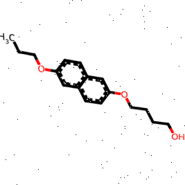 CCCOc1ccc2cc(OCCCCO)ccc2c1